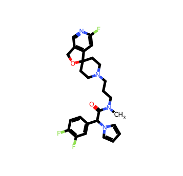 CN(CCCN1CCC2(CC1)OCc1cnc(F)cc12)C(=O)C(c1ccc(F)c(F)c1)n1cccc1